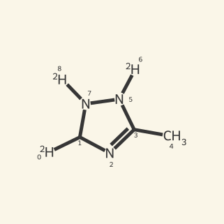 [2H]C1N=C(C)N([2H])N1[2H]